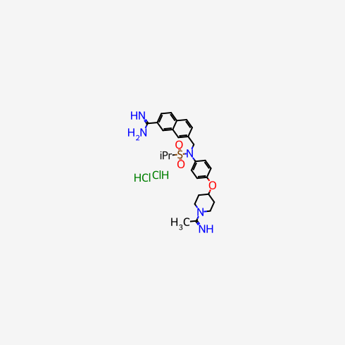 CC(=N)N1CCC(Oc2ccc(N(Cc3ccc4ccc(C(=N)N)cc4c3)S(=O)(=O)C(C)C)cc2)CC1.Cl.Cl